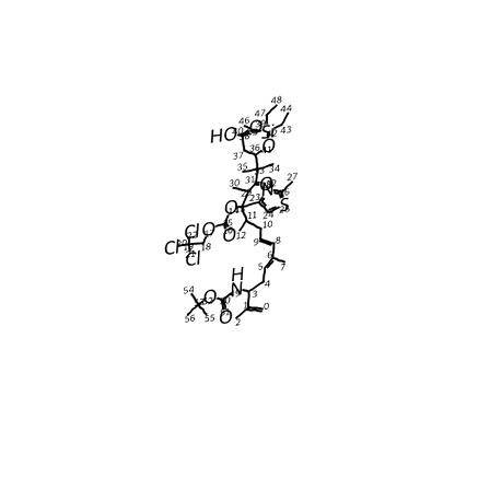 C=C(C)C(CC=C(C)C=CCC(C)C(OC(=O)OCC(Cl)(Cl)Cl)(c1csc(C)n1)C(C)C(=O)C(C)(C)C(CC(=O)O)O[Si](CC)(CC)CC)NC(=O)OC(C)(C)C